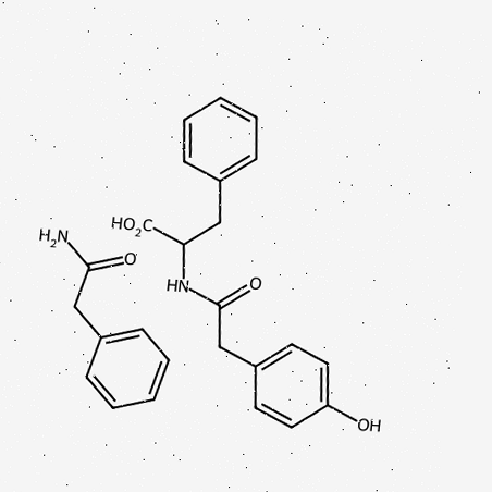 NC(=O)Cc1ccccc1.O=C(Cc1ccc(O)cc1)NC(Cc1ccccc1)C(=O)O